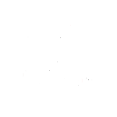 O=S(=O)(O)CCS.O=S(=O)([O-])CCS.[Na+]